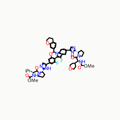 COC(=O)N[C@H](C(=O)N1CCC[C@H]1c1ncc(-c2cc(F)c3c(c2)OC(c2ccc4c(c2)OCCC4)n2c-3c(F)c3cc(-c4cnc([C@@H]5CCCN5C(=O)[C@@H](NC(=O)OC)C5CCOCC5)[nH]4)ccc32)[nH]1)C(C)C